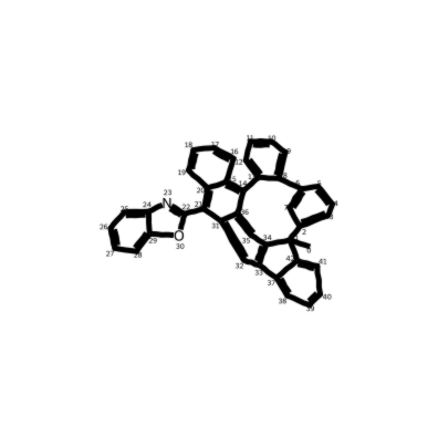 CC12c3cccc(c3)-c3ccccc3-c3c4ccccc4c(-c4nc5ccccc5o4)c4cc(c1cc34)-c1ccccc12